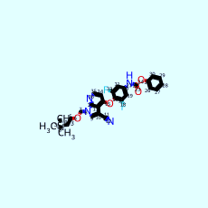 C[Si](C)(C)CCOCn1cc(C#N)c2c(Oc3c(F)cc(NC(=O)Oc4ccccc4)cc3F)ccnc21